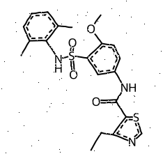 CCc1ncsc1C(=O)Nc1ccc(OC)c(S(=O)(=O)Nc2c(C)cccc2C)c1